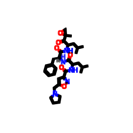 CC(C)CC(NC(=O)c1cc(CN2CCCC2)on1)C(=O)N[C@@H](Cc1ccccc1)C(=O)NC(CC(C)C)C(=O)C1(C)CO1